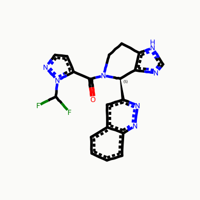 O=C(c1ccnn1C(F)F)N1CCc2[nH]cnc2[C@H]1c1cc2ccccc2nn1